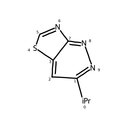 CC(C)c1cc2scnc2nn1